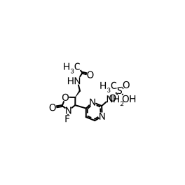 CC(=O)NC[C@@H]1OC(=O)N(F)C1c1ccnc(N)n1.CS(=O)(=O)O